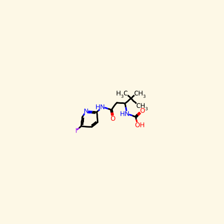 CC(C)(C)C(CC(=O)Nc1ccc(I)cn1)NC(=O)O